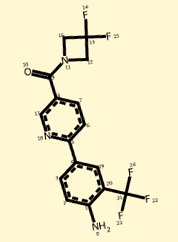 Nc1ccc(-c2ccc(C(=O)N3CC(F)(F)C3)cn2)cc1C(F)(F)F